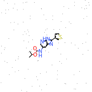 CC(C)OC(=O)Nc1cnc2[nH]c(-c3ccsc3)nc2c1